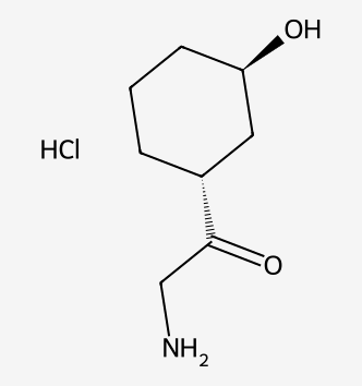 Cl.NCC(=O)[C@@H]1CCC[C@@H](O)C1